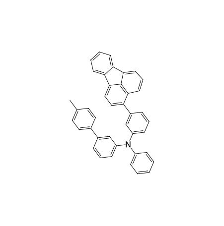 Cc1ccc(-c2cccc(N(c3ccccc3)c3cccc(-c4ccc5c6c(cccc46)-c4ccccc4-5)c3)c2)cc1